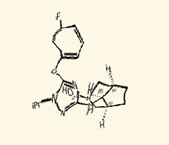 CC(C)n1nc(N[C@H]2[C@@H]3CC[C@H]2CN(C(=O)O)C3)nc1Oc1cccc(F)c1